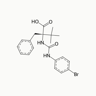 CC(C)(C)[C@](Cc1ccccc1)(NC(=O)Nc1ccc(Br)cc1)C(=O)O